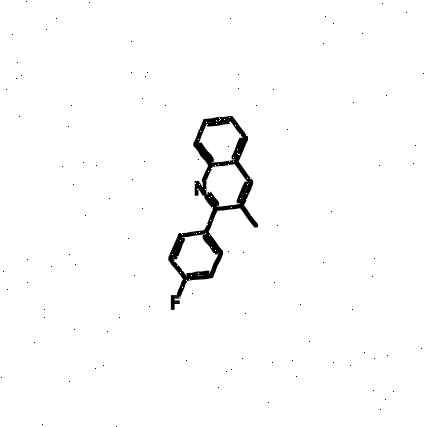 Cc1cc2ccccc2nc1-c1ccc(F)cc1